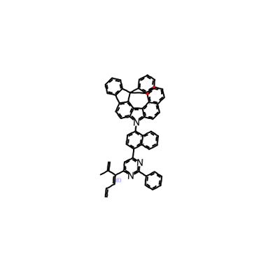 C=C/C=C(\C(=C)C)c1cc(-c2ccc(-n3c4ccc5c6c4c4c7c(cccc7ccc43)C6(c3ccccc3)c3ccccc3-5)c3ccccc23)nc(-c2ccccc2)n1